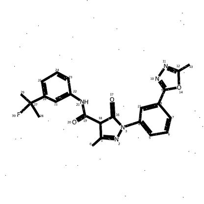 CC1=NN(c2cccc(-c3nnc(C)o3)c2)C(=O)C1C(=O)Nc1cccc(C(C)(C)F)c1